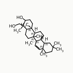 CC1(C)CC[C@]2(C)C=C[C@]3(C)C(=CC[C@@H]4[C@@]5(C)CCC(O)C(C)(CO)C5CC[C@]43C)[C@H]2C1